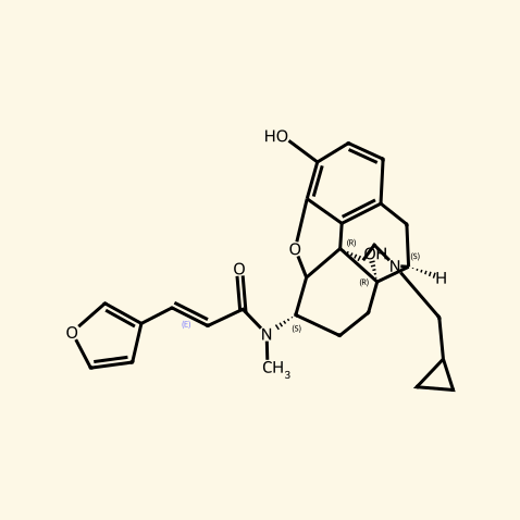 CN(C(=O)/C=C/c1ccoc1)[C@H]1CC[C@]2(O)[C@@H]3Cc4ccc(O)c5c4[C@]2(CCN3CC2CC2)C1O5